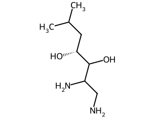 CC(C)C[C@@H](O)C(O)C(N)CN